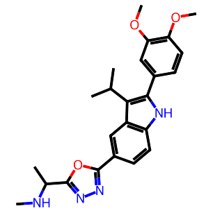 CNC(C)c1nnc(-c2ccc3[nH]c(-c4ccc(OC)c(OC)c4)c(C(C)C)c3c2)o1